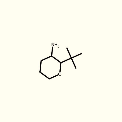 CC(C)(C)C1OCCCC1N